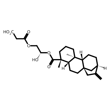 C=C1C[C@@]23CC[C@H]4[C@@](C)(CCC[C@@]4(C)C(=O)O[C@H](O)COC(=O)CC(=O)O)[C@@H]2CC[C@@H]1C3